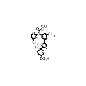 Cc1cc(-c2cnc(C3(O)CCC(C(=O)O)CC3)s2)cc(N(C(=O)OC(C)(C)C)c2nccc(C(F)(F)F)n2)c1